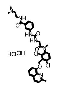 Cc1ccc2cccc(OCc3c(Cl)ccc(N(C)C(=O)CNC(=O)Nc4cccc(C(=O)NCCN(C)C)c4)c3Cl)c2n1.Cl.Cl